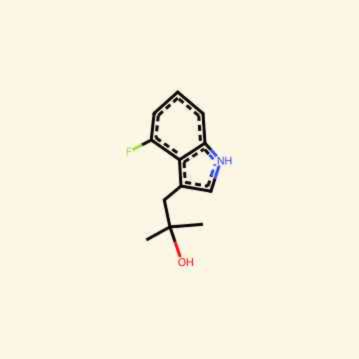 CC(C)(O)Cc1c[nH]c2cccc(F)c12